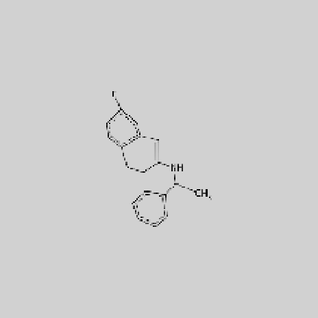 CC(NC1=Cc2cc(F)ccc2CC1)c1ccccc1